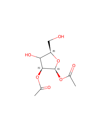 CC(=O)O[C@@H]1O[C@H](CO)C(O)[C@@H]1OC(C)=O